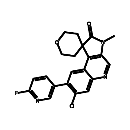 CN1C(=O)C2(CCOCC2)c2c1cnc1cc(Cl)c(-c3ccc(F)nc3)cc21